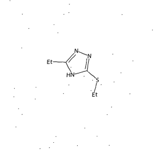 CCSc1nnc(CC)[nH]1